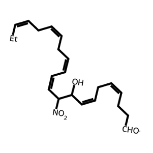 CC/C=C\C/C=C\C/C=C\C=C/C(C(O)/C=C\C/C=C\CC[C]=O)[N+](=O)[O-]